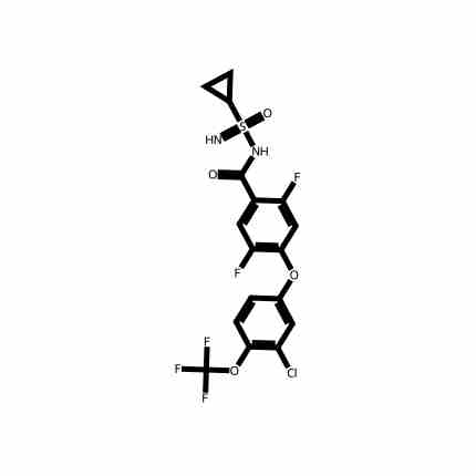 N=S(=O)(NC(=O)c1cc(F)c(Oc2ccc(OC(F)(F)F)c(Cl)c2)cc1F)C1CC1